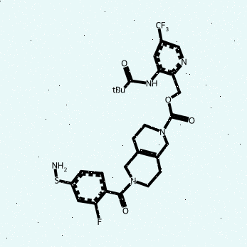 CC(C)(C)C(=O)Nc1cc(C(F)(F)F)cnc1COC(=O)N1CCC2=C(CCN(C(=O)c3ccc(SN)cc3F)C2)C1